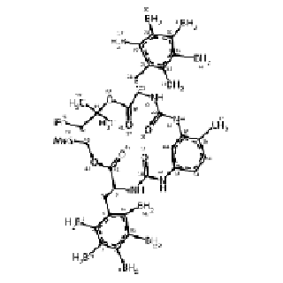 Bc1c(B)c(B)c(C[C@H](NC(=O)Nc2ccc(C)c(NC(=O)N[C@@H](Cc3c(B)c(B)c(B)c(B)c3B)C(=O)OC(C)(C)CC(C)C)c2)C(=O)OCSC)c(B)c1B